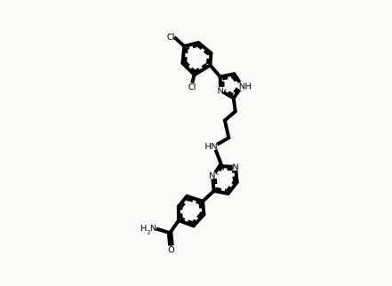 NC(=O)c1ccc(-c2ccnc(NCCCc3nc(-c4ccc(Cl)cc4Cl)c[nH]3)n2)cc1